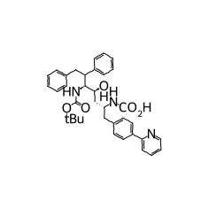 CC(C)(C)OC(=O)N[C@@H](C(Cc1ccccc1)c1ccccc1)[C@@H](O)C[C@@H](Cc1ccc(-c2ccccn2)cc1)NC(=O)O